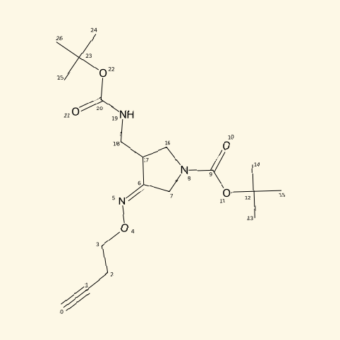 C#CCCON=C1CN(C(=O)OC(C)(C)C)CC1CNC(=O)OC(C)(C)C